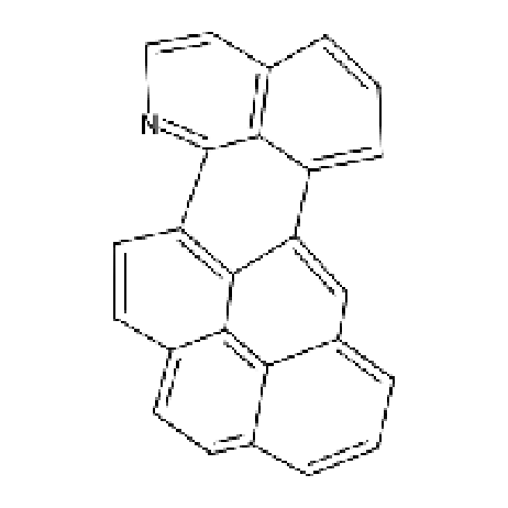 c1cc2ccc3ccc4c5nccc6cccc(c7cc(c1)c2c3c74)c65